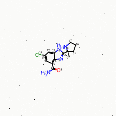 C[C@]1(c2nc3c(C(N)=O)cc(Cl)cc3[nH]2)CCCN1